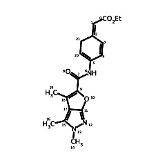 CCOC(=O)C=C1C=CC(NC(=O)c2oc3nn(C)c(C)c3c2C)=CC1